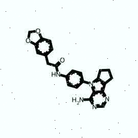 Nc1ncnc2c3c(n(-c4ccc(NC(=O)Cc5ccc6c(c5)OCO6)cc4)c12)CCC3